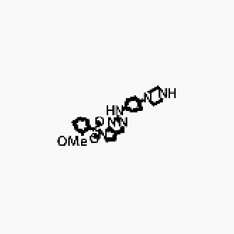 COc1ccccc1S(=O)(=O)n1ccc2cnc(Nc3ccc(N4CCNCC4)cc3)nc21